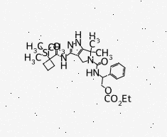 CCOC(=O)OCC(NC(=O)N1Cc2c(NC(=O)C3([Si](C)(C)C)CCC3)n[nH]c2C1(C)C)c1ccccc1